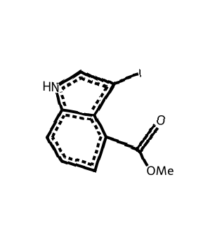 COC(=O)c1cccc2[nH]cc(I)c12